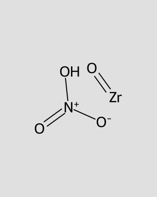 O=[N+]([O-])O.[O]=[Zr]